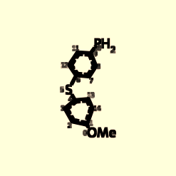 COc1ccc(Sc2ccc(P)cc2)cc1